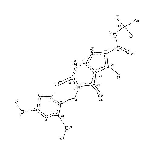 COc1ccc(Cn2c(=O)[nH]c3sc(C(=O)OC(C)(C)C)c(C)c3c2=O)c(OC)c1